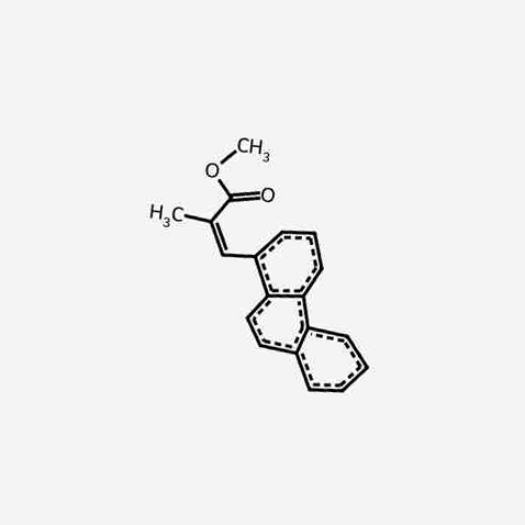 COC(=O)C(C)=Cc1cccc2c1ccc1ccccc12